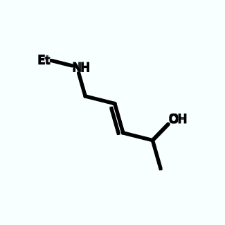 CCNCC=CC(C)O